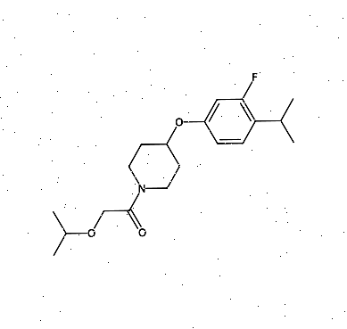 CC(C)OCC(=O)N1CCC(Oc2ccc(C(C)C)c(F)c2)CC1